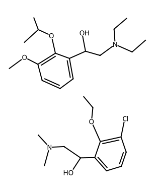 CCN(CC)CC(O)c1cccc(OC)c1OC(C)C.CCOc1c(Cl)cccc1C(O)CN(C)C